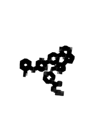 CC(C)(C)OC(=O)N1CCO[C@H](Cn2cc(-c3ccc4ncnc(N5CCN(c6ncc(Sc7ccccc7F)cn6)CC5)n34)cn2)C1